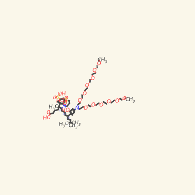 COCCOCCOCCOCCOCCOCCN(CCOCCOCCOCCOCCOCCOC)c1ccc(C(=C\CC(C)(C)C)/C=C/C=C2\N(CCCS(=O)(=O)O)c3ccc(S(=O)O)cc3C2(C)CCCC(=O)O)c(O)c1